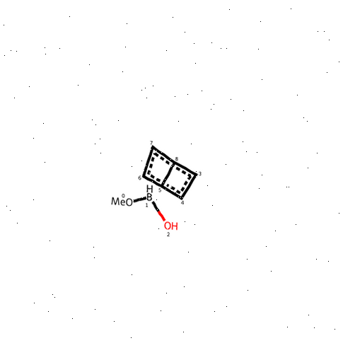 COBO.c1cc2ccc1-2